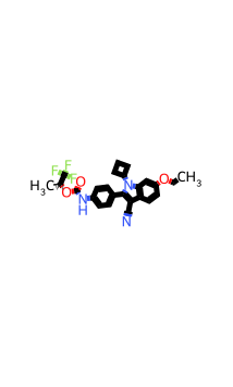 CCOc1ccc2c(C#N)c(-c3ccc(NC(=O)O[C@H](C)C(F)(F)F)cc3)n(C3CCC3)c2c1